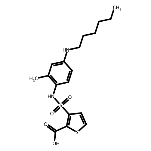 CCCCCCNc1ccc(NS(=O)(=O)c2ccsc2C(=O)O)c(C)c1